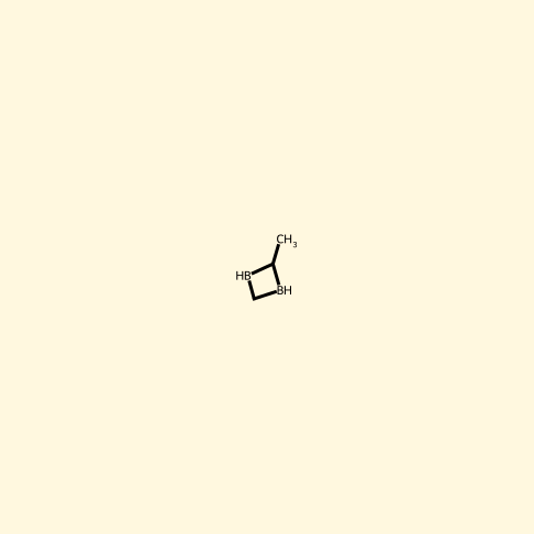 CC1BCB1